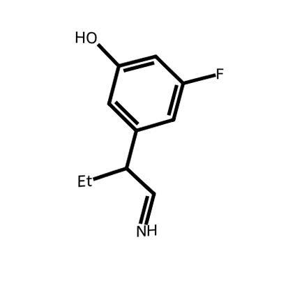 CCC(C=N)c1cc(O)cc(F)c1